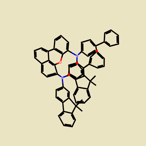 CC1(C)c2ccccc2-c2ccc(N(c3ccc(-c4ccccc4)cc3)c3cccc4c3Oc3c(N(c5ccc(-c6ccccc6)cc5)c5ccc6c(c5)C(C)(C)c5ccccc5-6)ccc5cccc-4c35)cc21